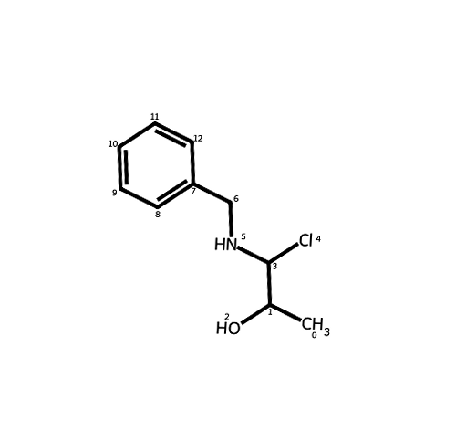 CC(O)C(Cl)NCc1ccccc1